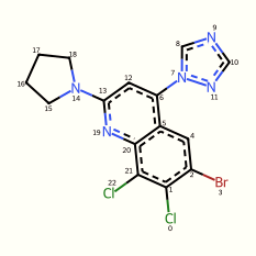 Clc1c(Br)cc2c(-n3cncn3)cc(N3CCCC3)nc2c1Cl